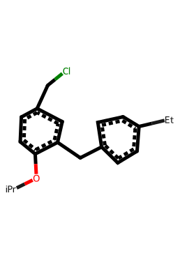 CCc1ccc(Cc2cc(CCl)ccc2OC(C)C)cc1